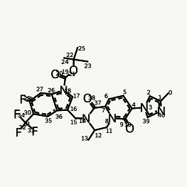 Cc1cn(-c2ccc3n(c2=O)CC(C)N(Cc2cn(C(=O)OC(C)(C)C)c4cc(F)c(C(F)(F)F)cc24)C3=O)cn1